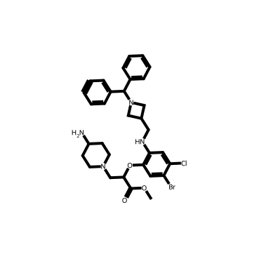 COC(=O)C(CN1CCC(N)CC1)Oc1cc(Br)c(Cl)cc1NCC1CN(C(c2cc#ccc2)c2ccccc2)C1